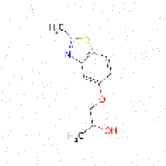 Cc1nc2cc(OCC(C)O)ccc2s1